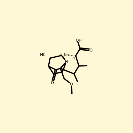 COCC1(C(C)C(C)[C@H](N)C(=O)O)C(=O)C2CCN1CC2.Cl